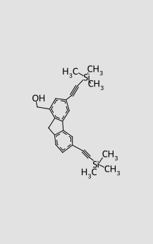 C[Si](C)(C)C#Cc1ccc2c(c1)-c1cc(C#C[Si](C)(C)C)cc(CO)c1C2